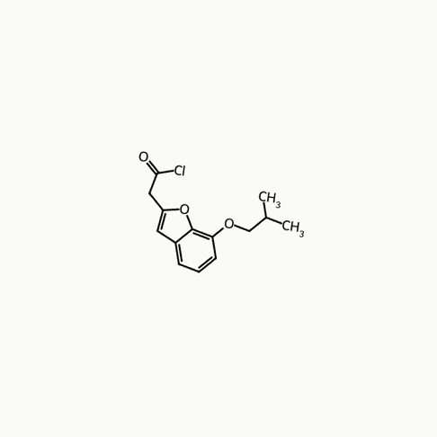 CC(C)COc1cccc2cc(CC(=O)Cl)oc12